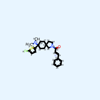 CN(C)C1(c2ccc(F)s2)CCC2(CCN(C(=O)/C=C/c3ccccc3)C2)CC1